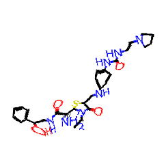 CCN1C(=O)C(CNc2ccc(NC(=O)NCCN3CCCC3)cc2)SC1[C@H](N)C(=O)NCC(O)c1ccccc1